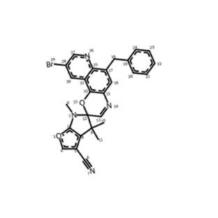 CN1c2occ(C#N)c2C(C)(C)C12C=Nc1cc(Cc3ccccc3)c3ncc(Br)cc3c1O2